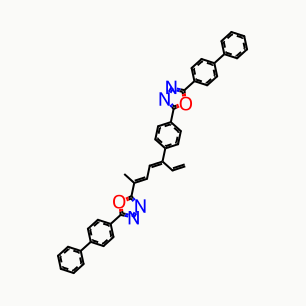 C=C/C(=C\C=C(/C)c1nnc(-c2ccc(-c3ccccc3)cc2)o1)c1ccc(-c2nnc(-c3ccc(-c4ccccc4)cc3)o2)cc1